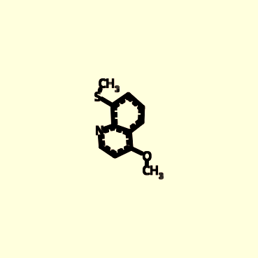 COc1ccnc2c(SC)cccc12